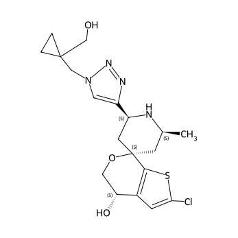 C[C@H]1C[C@@]2(C[C@@H](c3cn(CC4(CO)CC4)nn3)N1)OC[C@@H](O)c1cc(Cl)sc12